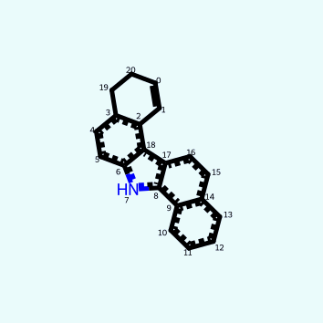 C1=Cc2c(ccc3[nH]c4c5ccccc5ccc4c23)CC1